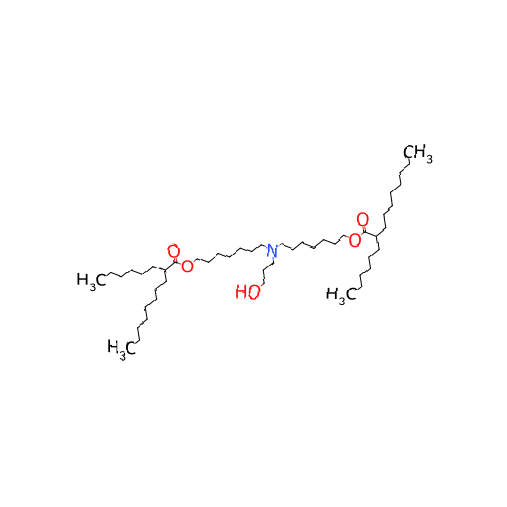 CCCCCCCCC(CCCCCC)C(=O)OCCCCCCCN(CCCO)CCCCCCCOC(=O)C(CCCCCC)CCCCCCCC